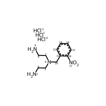 Cl.Cl.Cl.NCCN(CCN)Cc1ccccc1[N+](=O)[O-]